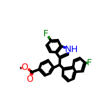 COC(=O)c1ccc(C(c2cccc3cc(F)ccc23)c2c[nH]c3cc(F)ccc23)cc1